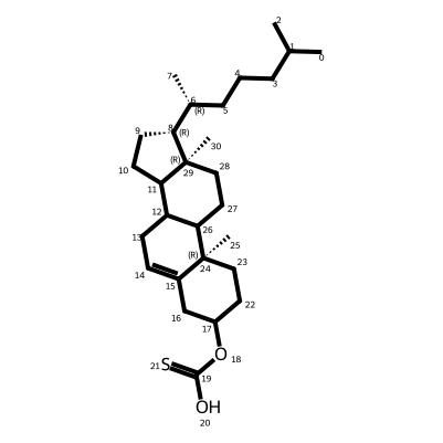 CC(C)CCC[C@@H](C)[C@H]1CCC2C3CC=C4CC(OC(O)=S)CC[C@]4(C)C3CC[C@@]21C